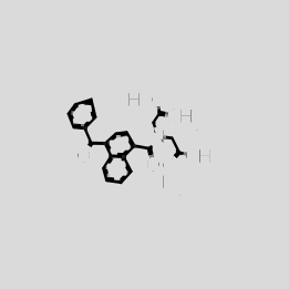 C=C(C)CN(CC(=C)C)C(=O)c1ccc(C(=O)c2ccccc2)c2ccccc12